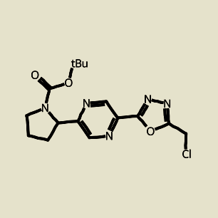 CC(C)(C)OC(=O)N1CCCC1c1cnc(-c2nnc(CCl)o2)cn1